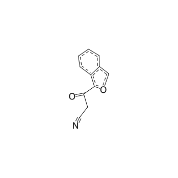 N#CCC(=O)c1occ2ccccc12